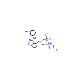 C#Cc1cccc(Nc2ncnc3cccc(CN4CC[C@@H](NC(=O)OCC=C)[C@H](C(=O)OC)C4)c23)c1